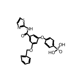 O=C(Nc1nccs1)c1cc(OCc2ccccc2)cc(Oc2ccc(P(=O)(O)O)cc2)c1